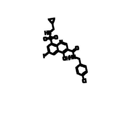 O=C(NCc1ccc(Cl)cc1)c1cnc2c(S(=O)(=O)NCC3CC3)cc(F)cc2c1O